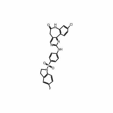 O=C1Cc2cnc(Nc3ccc(S(=O)(=O)N4CCc5cc(F)ccc54)cc3)nc2-c2ccc(Cl)cc2N1